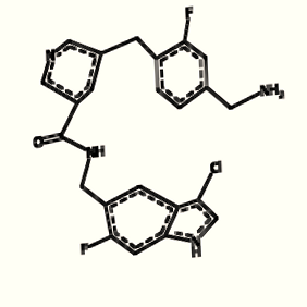 NCc1ccc(Cc2cncc(C(=O)NCc3cc4c(Cl)c[nH]c4cc3F)c2)c(F)c1